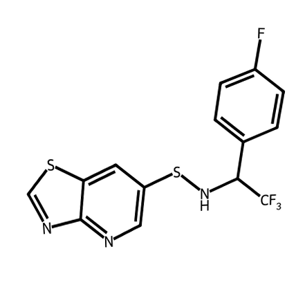 Fc1ccc(C(NSc2cnc3ncsc3c2)C(F)(F)F)cc1